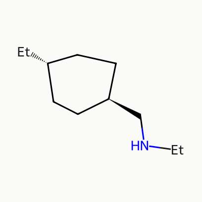 CCNC[C@H]1CC[C@H](CC)CC1